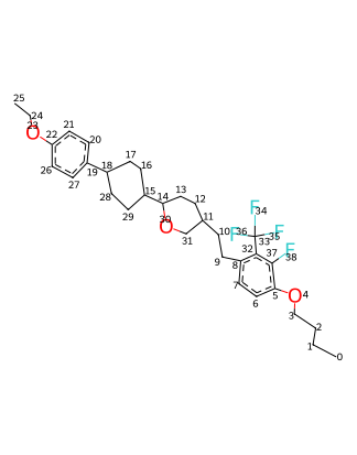 CCCCOc1ccc(CCC2CCC(C3CCC(c4ccc(OCC)cc4)CC3)OC2)c(C(F)(F)F)c1F